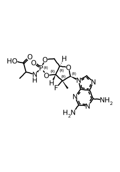 CC(N[P@@]1(=O)OC[C@H]2O[C@@H](n3cnc4c(N)nc(N)nc43)[C@](C)(F)[C@@H]2O1)C(=O)O